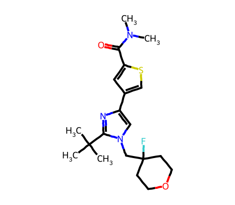 CN(C)C(=O)c1cc(-c2cn(CC3(F)CCOCC3)c(C(C)(C)C)n2)cs1